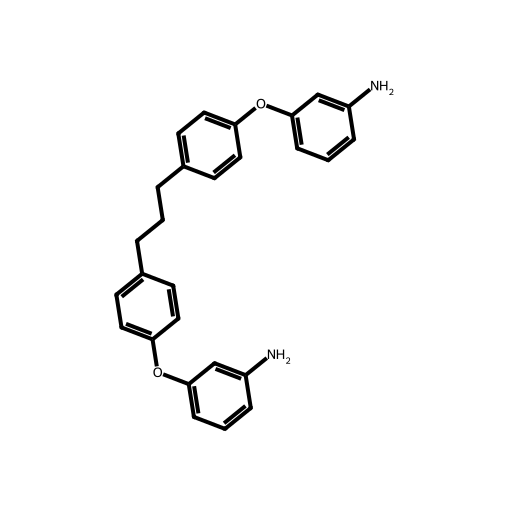 Nc1cccc(Oc2ccc(CCCc3ccc(Oc4cccc(N)c4)cc3)cc2)c1